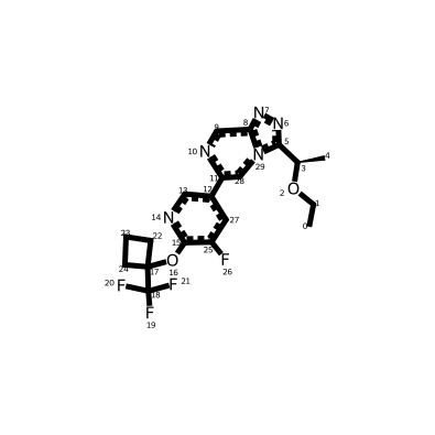 CCO[C@H](C)c1nnc2cnc(-c3cnc(OC4(C(F)(F)F)CCC4)c(F)c3)cn12